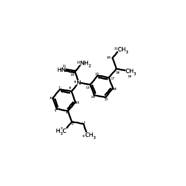 CCC(C)c1cccc(N(C(=N)N)c2cccc(C(C)CC)c2)c1